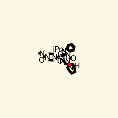 CC(C)n1c(=O)n(C(=O)NC2CC3CC[C@@H](C2)N3CCCOC(=O)N2CCN(C(=O)N(C)C)CC2)c2ccccc21